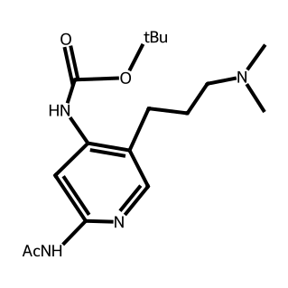 CC(=O)Nc1cc(NC(=O)OC(C)(C)C)c(CCCN(C)C)cn1